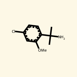 COc1cc(Cl)ccc1C(C)(C)N